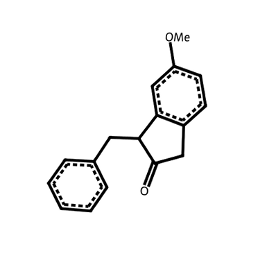 COc1ccc2c(c1)C(Cc1ccccc1)C(=O)C2